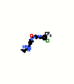 O=C(N1CC(NCc2cc(Cl)cc(C(F)(F)F)c2)C1)N1CC2(CC(c3nnc(C4CC4)[nH]3)C2)C1